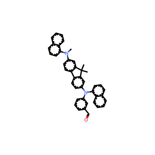 CN(c1ccc2c(c1)C(C)(C)c1cc(N(c3cccc(C=O)c3)c3cccc4ccccc34)ccc1-2)c1cccc2ccccc12